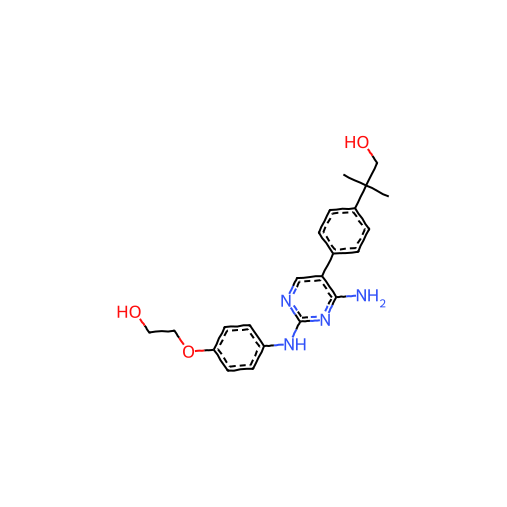 CC(C)(CO)c1ccc(-c2cnc(Nc3ccc(OCCO)cc3)nc2N)cc1